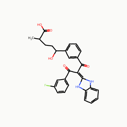 CC(CCC(O)c1cccc(C(=O)C(C(=O)c2cccc(F)c2)=C2Nc3ccccc3N2)c1)C(=O)O